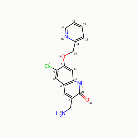 NCc1cc2cc(Cl)c(OCc3ccccn3)cc2[nH]c1=O